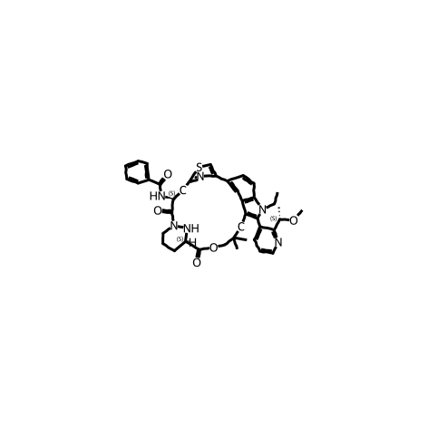 CCn1c(-c2cccnc2[C@H](C)OC)c2c3cc(ccc31)-c1csc(n1)C[C@H](NC(=O)c1ccccc1)C(=O)N1CCC[C@H](N1)C(=O)OCC(C)(C)C2